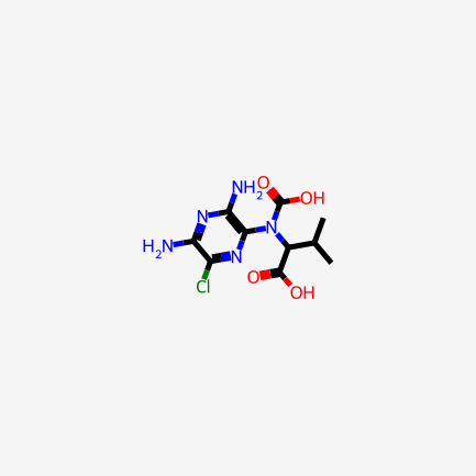 CC(C)C(C(=O)O)N(C(=O)O)c1nc(Cl)c(N)nc1N